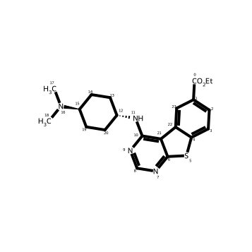 CCOC(=O)c1ccc2sc3ncnc(N[C@H]4CC[C@H](N(C)C)CC4)c3c2c1